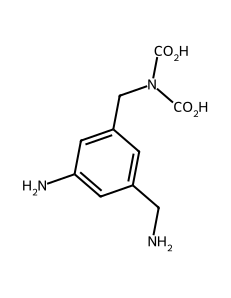 NCc1cc(N)cc(CN(C(=O)O)C(=O)O)c1